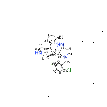 CCc1cccc2c1-n1nc3c(c1C1(C)C=CC4(C)NC=CC4=C21)CN(Cc1cc(F)ccc1Cl)CC3